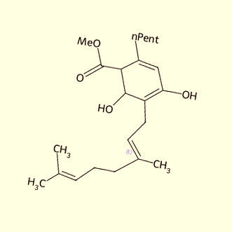 CCCCCC1=CC(O)=C(C/C=C(\C)CCC=C(C)C)C(O)C1C(=O)OC